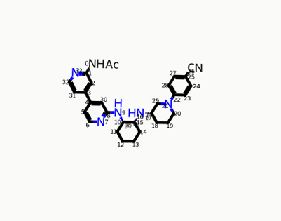 CC(=O)Nc1cc(-c2ccnc(N[C@@H]3CCCC[C@H]3N[C@H]3CCCN(c4ccc(C#N)cc4)C3)c2)ccn1